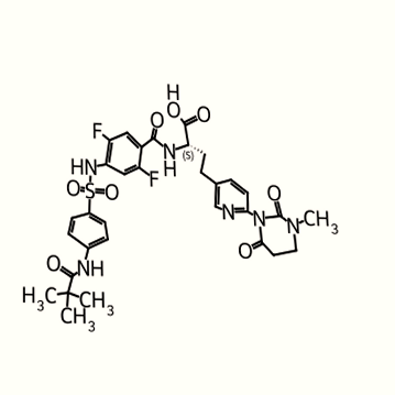 CN1CCC(=O)N(c2ccc(CC[C@H](NC(=O)c3cc(F)c(NS(=O)(=O)c4ccc(NC(=O)C(C)(C)C)cc4)cc3F)C(=O)O)cn2)C1=O